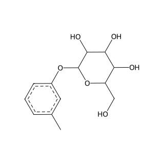 Cc1cccc(OC2OC(CO)C(O)C(O)C2O)c1